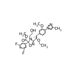 CCO/C(=C\c1ccc(-n2cnc(C)c2)c(OC)c1)C1=NOC(C(=O)OC)(c2cc(F)cc(F)c2)N1CCO